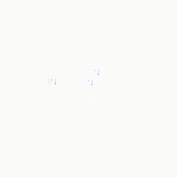 O=c1c2ccccc2cnn1C1CCNCC1